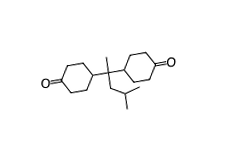 CC(C)CC(C)(C1CCC(=O)CC1)C1CCC(=O)CC1